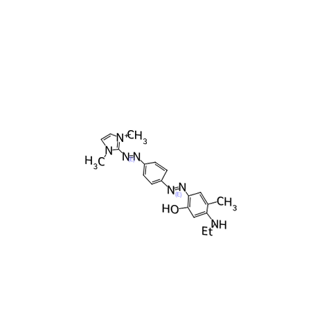 CCNc1cc(O)c(/N=N/c2ccc(/N=N/c3n(C)cc[n+]3C)cc2)cc1C